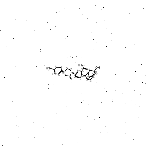 CC1CN(c2ccc(N)nc2)CCN1c1ccc(C2C3CC4CC2CC(O)(C4)C3)c(C(N)=O)n1